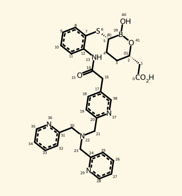 O=C(O)C[C@@H]1CC[C@H](Sc2ccccc2NC(=O)Cc2ccc(CN(Cc3ccccn3)Cc3ccccn3)nc2)B(O)O1